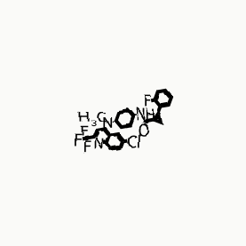 CN(c1cc(C(F)(F)F)nc2ccc(Cl)cc12)[C@H]1CC[C@@H](NC(=O)C2=C(c3ccccc3F)C2)CC1